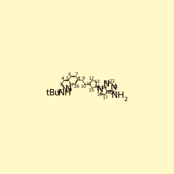 CC(C)(C)Nc1ccc2ccc(CCC3CCC(n4ccc5c(N)ncnc54)C3)cc2n1